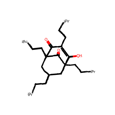 CCC(C)CCC12CC(CCC(C)C)CC(CCC(C)C)(C1=O)C(O)=C(CCC(C)C)C2=O